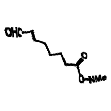 CNOC(=O)CCCCCCC=O